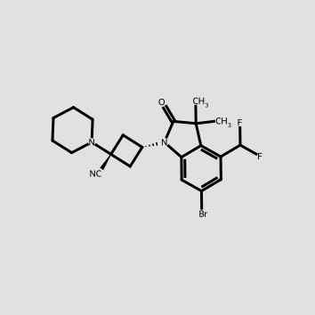 CC1(C)C(=O)N([C@H]2C[C@@](C#N)(N3CCCCC3)C2)c2cc(Br)cc(C(F)F)c21